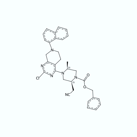 C[C@H]1CN(C(=O)OCc2ccccc2)[C@@H](CC#N)CN1c1nc(Cl)nc2c1CCN(c1cccc3ccccc13)C2